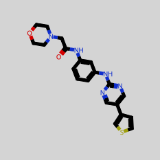 O=C(CN1CCOCC1)Nc1cccc(Nc2ncc(-c3ccsc3)cn2)c1